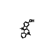 CN1Cc2c(n(C)c3ccc(O)cc23)-c2ccccc21